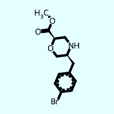 COC(=O)[C@H]1CN[C@@H](Cc2ccc(Br)cc2)CO1